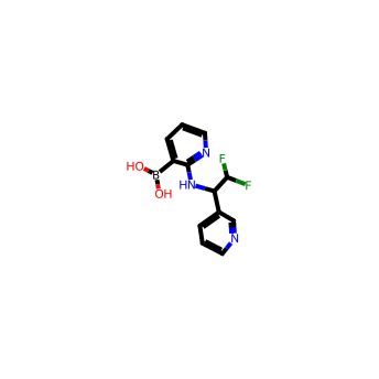 OB(O)c1cccnc1NC(c1cccnc1)C(F)F